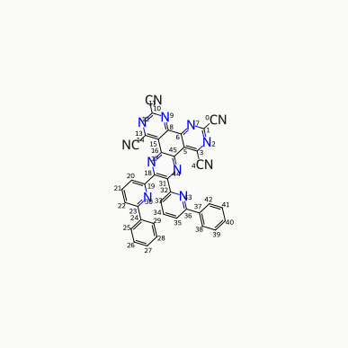 N#Cc1nc(C#N)c2c(n1)c1nc(C#N)nc(C#N)c1c1nc(-c3cccc(-c4ccccc4)n3)c(-c3cccc(-c4ccccc4)n3)nc12